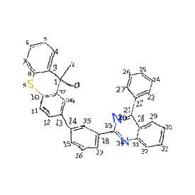 CC1(C)c2ccccc2Sc2ccc(-c3cccc(-c4nc(-c5ccccc5)c5ccccc5n4)c3)cc21